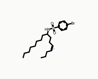 CCC/C=C\CCC(CCCCCCCC)NS(=O)(=O)c1ccc(Br)cc1